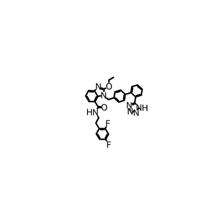 CCOc1nc2cccc(C(=O)NCCc3ccc(F)cc3F)c2n1Cc1ccc(-c2ccccc2-c2nnn[nH]2)cc1